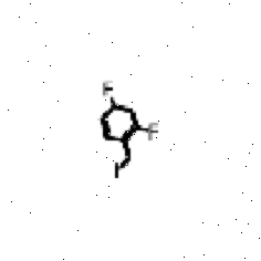 FC1=C(CI)C=CC(F)C1